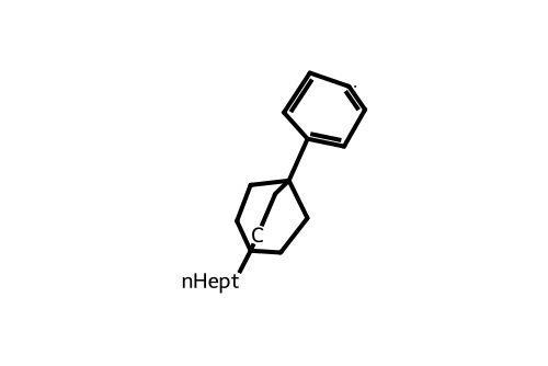 CCCCCCCC12CCC(c3cc[c]cc3)(CC1)CC2